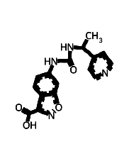 CC(NC(=O)Nc1ccc2c(C(=O)O)noc2c1)c1ccncc1